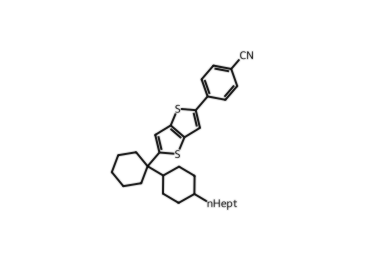 CCCCCCCC1CCC(C2(c3cc4sc(-c5ccc(C#N)cc5)cc4s3)CCCCC2)CC1